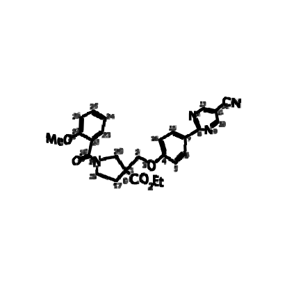 CCOC(=O)C1(COc2ccc(-c3ncc(C#N)cn3)cc2)CCN(C(=O)c2ccccc2OC)C1